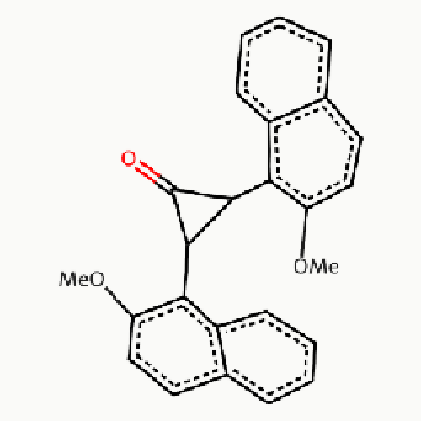 COc1ccc2ccccc2c1C1C(=O)C1c1c(OC)ccc2ccccc12